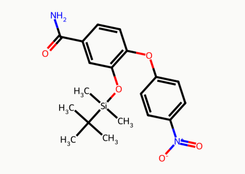 CC(C)(C)[Si](C)(C)Oc1cc(C(N)=O)ccc1Oc1ccc([N+](=O)[O-])cc1